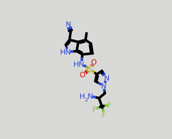 Cc1ccc(NS(=O)(=O)c2cnn(CC(N)C(F)(F)F)c2)c2[nH]cc(C#N)c12